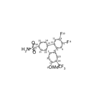 COc1ccc(-c2cc(F)c(F)cc2-c2ccc(S(N)(=O)=O)cc2)cc1C(F)(F)F